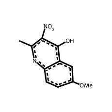 COc1ccc2nc(C)c([N+](=O)[O-])c(O)c2c1